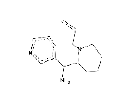 C=CCN1CCCCC1C(N)c1cccnc1